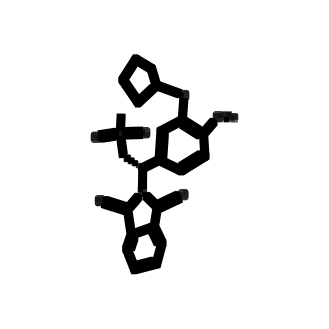 COc1ccc([C@@H](CS(C)(=O)=O)N2C(=O)c3ccccc3C2=O)cc1OC1CCCC1